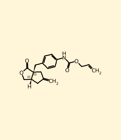 C=CCOC(=O)Nc1ccc(C[C@@]23CC(=C)C[C@@H]2COC3=O)cc1